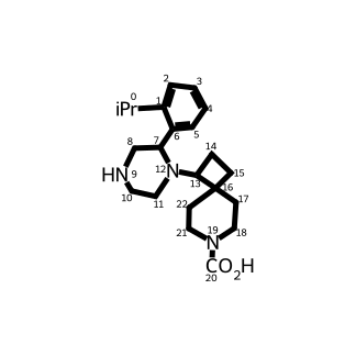 CC(C)c1ccccc1C1CNCCN1C1CCC12CCN(C(=O)O)CC2